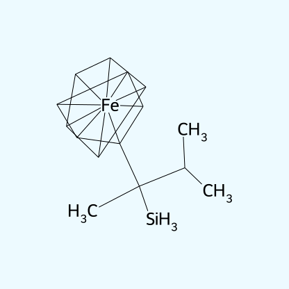 CC(C)C(C)([SiH3])[C]12[CH]3[CH]4[CH]5[CH]1[Fe]45321678[CH]2[CH]1[CH]6[CH]7[CH]28